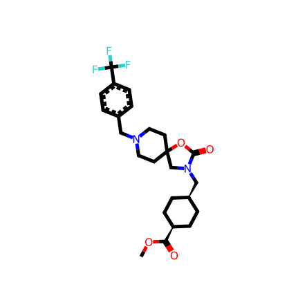 COC(=O)[C@H]1CC[C@@H](CN2CC3(CCN(Cc4ccc(C(F)(F)F)cc4)CC3)OC2=O)CC1